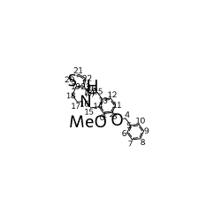 COc1c(OCc2ccccc2)ccc2c1CN1CCc3sccc3[C@@H]1C2